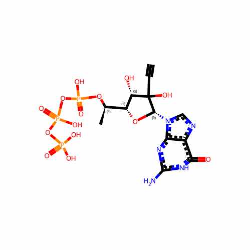 C#CC1(O)[C@@H](O)[C@@H]([C@@H](C)OP(=O)(O)OP(=O)(O)OP(=O)(O)O)O[C@H]1n1cnc2c(=O)[nH]c(N)nc21